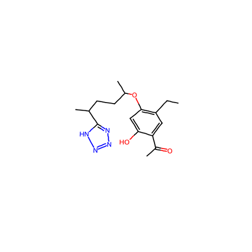 CCc1cc(C(C)=O)c(O)cc1OC(C)CCC(C)c1nnn[nH]1